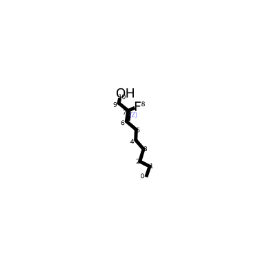 CCCCCC/C=C(\F)CO